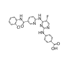 O=C(O)c1ccc(Nc2ncc(F)c(Nc3ccc(C(=O)Nc4ccccc4Cl)cn3)n2)cc1